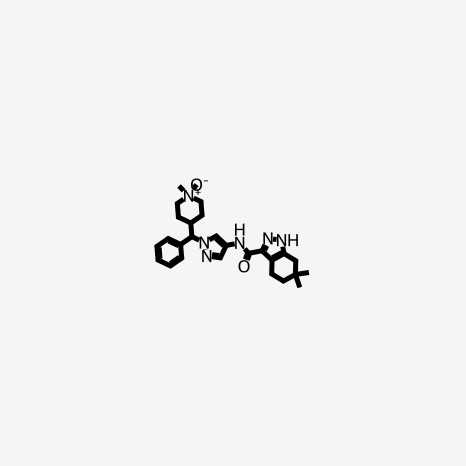 CC1(C)CCc2c(C(=O)Nc3cnn(C(c4ccccc4)C4CC[N+](C)([O-])CC4)c3)n[nH]c2C1